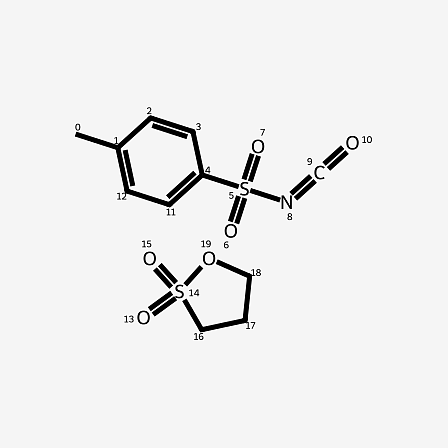 Cc1ccc(S(=O)(=O)N=C=O)cc1.O=S1(=O)CCCO1